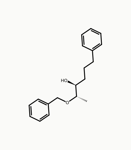 C[C@H](OCc1ccccc1)[C@@H](O)CCCc1ccccc1